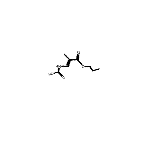 CCCOC(=O)C(C)=CNC(=O)O